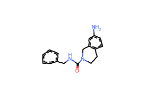 Nc1ccc2c(c1)CN(C(=O)NCc1ccccc1)CC2